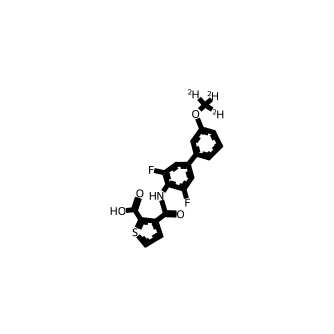 [2H]C([2H])([2H])Oc1cccc(-c2cc(F)c(NC(=O)c3ccsc3C(=O)O)c(F)c2)c1